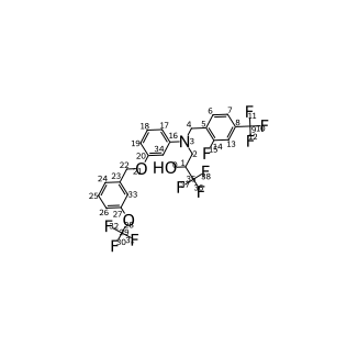 OC(CN(Cc1ccc(C(F)(F)F)cc1F)c1cccc(OCc2cccc(OC(F)(F)F)c2)c1)C(F)(F)F